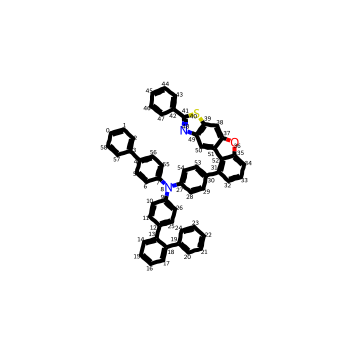 c1ccc(-c2ccc(N(c3ccc(-c4ccccc4-c4ccccc4)cc3)c3ccc(-c4cccc5oc6cc7sc(-c8ccccc8)nc7cc6c45)cc3)cc2)cc1